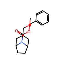 COCC1CC2CCC(C1)N2C(=O)OCc1ccccc1